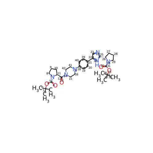 CC(C)(C)OC(=O)N1CCC[C@H]1C(=O)N1CCN(c2ccc(-c3cnc([C@@H]4CCCN4C(=O)OC(C)(C)C)[nH]3)cc2)CC1